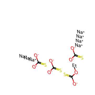 CCOC([O-])=S.[Na+].[Na+].[Na+].[Na+].[Na+].[Na+].[Na+].[O-]C([O-])=S.[O-]C([O-])=S.[O-]C([O-])=S